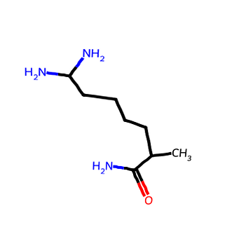 CC(CCCCC(N)N)C(N)=O